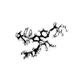 CN(C)C(=O)N1CC=C(c2cc(S(=O)(=O)NC3(CF)COC3)cc3c2n(CCO)c(=O)n3-c2nnc(C(F)F)s2)CC1